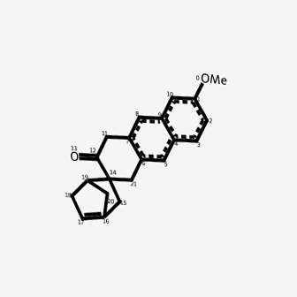 COc1ccc2cc3c(cc2c1)CC(=O)C1(CC2=CCC1C2)C3